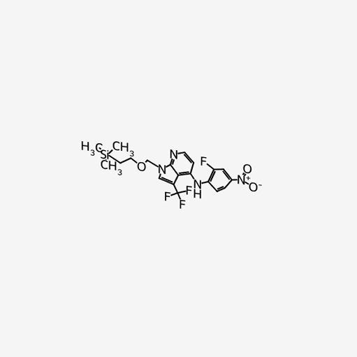 C[Si](C)(C)CCOCn1cc(C(F)(F)F)c2c(Nc3ccc([N+](=O)[O-])cc3F)ccnc21